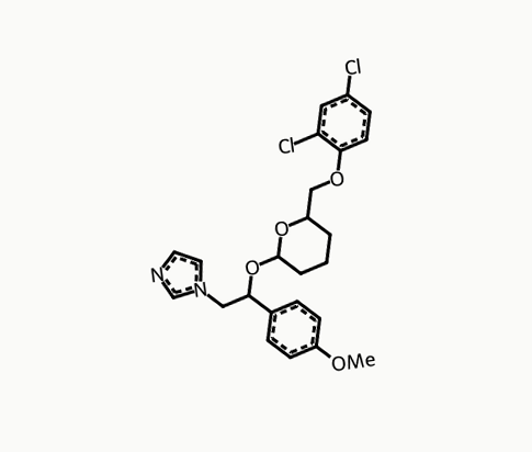 COc1ccc(C(Cn2ccnc2)OC2CCCC(COc3ccc(Cl)cc3Cl)O2)cc1